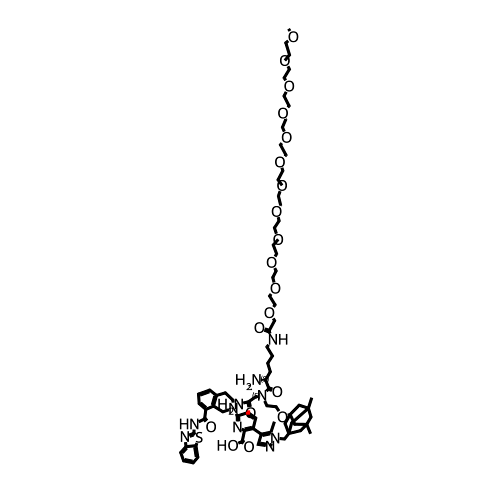 COCCOCCOCCOCCOCCOCCOCCOCCOCCOCCOCCOCC(=O)NCCCC[C@H](N)C(=O)N(CCOC12CC3(C)CC(C)(CC(Cn4ncc(-c5ccc(N6CCc7cccc(C(=O)Nc8nc9ccccc9s8)c7C6)nc5C(=O)O)c4C)(C3)C1)C2)[C@@H](C)C(N)=O